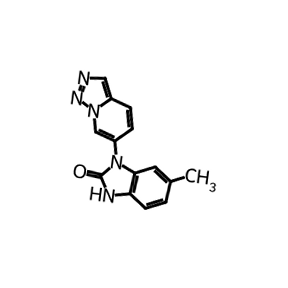 Cc1ccc2[nH]c(=O)n(-c3ccc4cnnn4c3)c2c1